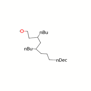 CCCCCCCCCCCCCC(CCCC)CC(CC[O])CCCC